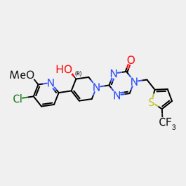 COc1nc(C2=CCN(c3ncn(Cc4ccc(C(F)(F)F)s4)c(=O)n3)C[C@@H]2O)ccc1Cl